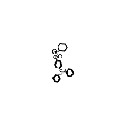 O=S(=O)(Oc1ccc([S+](c2ccccc2)c2ccccc2)cc1)C1CCCCC1